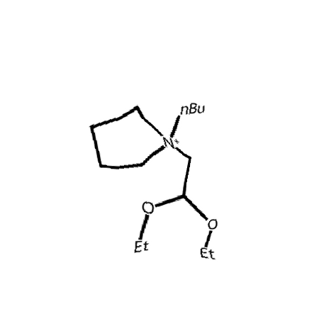 CCCC[N+]1(CC(OCC)OCC)CCCC1